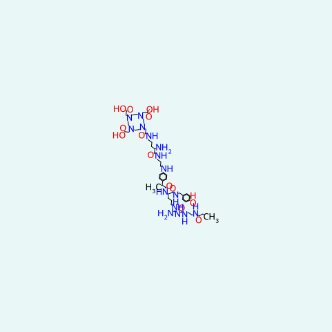 CCC(=O)NCCNC(=O)/N=C(/N)NCCC[C@@H](NC(=O)C(C)c1ccc(NCCCNC(=O)[C@H](N)CCCNC(=O)CN2CCN(CC(=O)O)CCN(CC(=O)O)CCN(CC(=O)O)CC2)cc1)C(=O)NCc1ccc(O)cc1